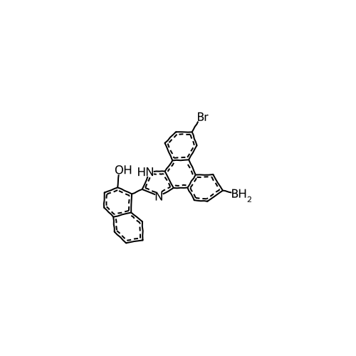 Bc1ccc2c(c1)c1cc(Br)ccc1c1[nH]c(-c3c(O)ccc4ccccc34)nc21